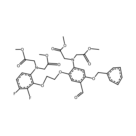 COC(=O)CN(CC(=O)OC)c1cc(OCc2ccccc2)c(C=O)cc1OCCOc1c(N(CC(=O)OC)CC(=O)OC)ccc(F)c1F